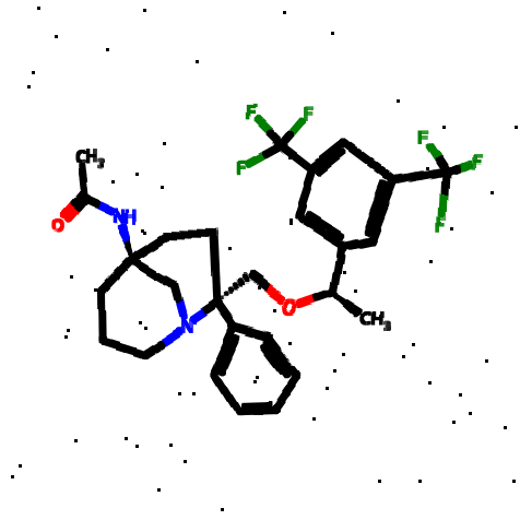 CC(=O)N[C@]12CCCN(C1)[C@](CO[C@H](C)c1cc(C(F)(F)F)cc(C(F)(F)F)c1)(c1ccccc1)CC2